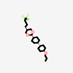 CCCO[C@H]1CC[C@H](C2CCC([C@H]3OC[C@H](CCCC(F)(F)F)CO3)CC2)CC1